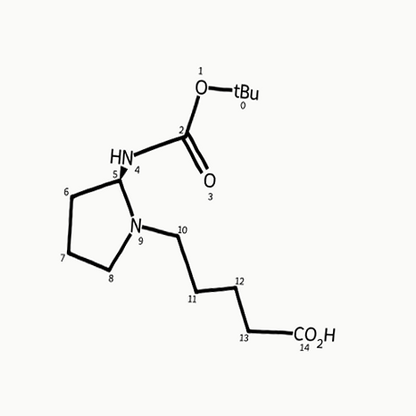 CC(C)(C)OC(=O)N[C@@H]1CCCN1CCCCC(=O)O